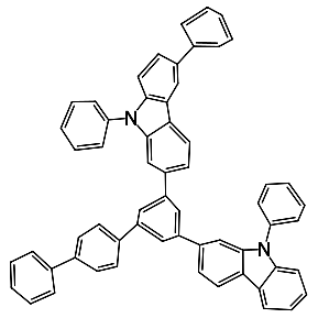 c1ccc(-c2ccc(-c3cc(-c4ccc5c6ccccc6n(-c6ccccc6)c5c4)cc(-c4ccc5c6cc(-c7ccccc7)ccc6n(-c6ccccc6)c5c4)c3)cc2)cc1